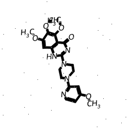 COc1ccnc(N2CCN(c3nc(=O)c4c(OC)c(OC)c(OC)cc4[nH]3)CC2)c1